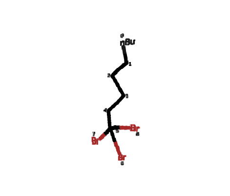 CCCCCCCCC(Br)(Br)Br